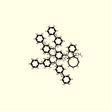 CC12CCCCCCC1(C)N(c1cc3c4c(c1)N(c1cccc(-c5ccccc5)c1)c1cc(-c5ccccc5)ccc1B4c1cc(-c4ccccc4)ccc1N3c1ccc(-c3ccccc3)cc1)c1ccccc12